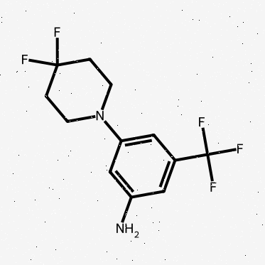 Nc1cc(N2CCC(F)(F)CC2)cc(C(F)(F)F)c1